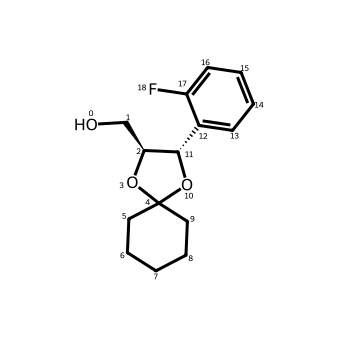 OC[C@@H]1OC2(CCCCC2)O[C@H]1c1ccccc1F